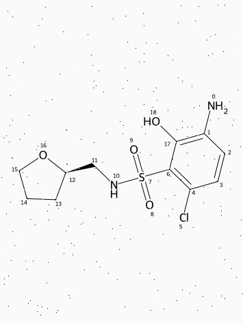 Nc1ccc(Cl)c(S(=O)(=O)NC[C@H]2CCCO2)c1O